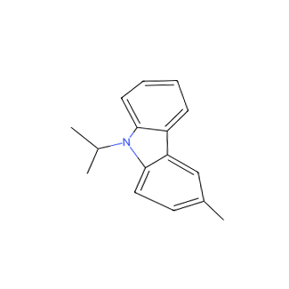 Cc1ccc2c(c1)c1ccccc1n2C(C)C